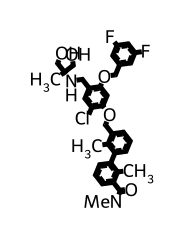 CNC(=O)c1cccc(-c2cccc(COc3cc(OCc4cc(F)cc(F)c4)c(CNC(C)(CO)CO)cc3Cl)c2C)c1C